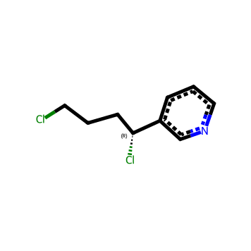 ClCCC[C@@H](Cl)c1cccnc1